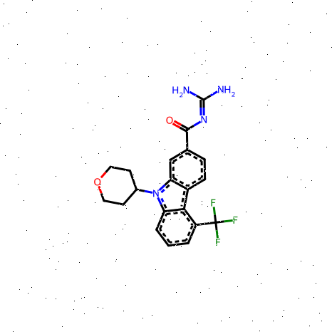 NC(N)=NC(=O)c1ccc2c3c(C(F)(F)F)cccc3n(C3CCOCC3)c2c1